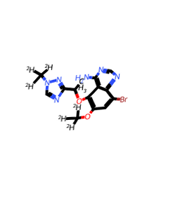 [2H]C([2H])([2H])Oc1cc(Br)c2ncnc(N)c2c1OC(C)c1ncn(C([2H])([2H])[2H])n1